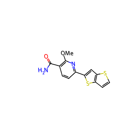 COc1nc(-c2cc3sccc3s2)ccc1C(N)=O